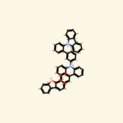 c1ccc(-c2ccccc2N(c2cccc(-c3ccccc3-n3c4ccccc4c4ccccc43)c2)c2cccc(-c3cccc4c3oc3ccccc34)c2)cc1